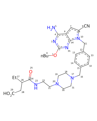 CCCCOc1nc(N)c2cc(C#N)n(Cc3ccc(CN4CCN(CCNC(=O)C(CC)CC(=O)O)CC4)cc3)c2n1